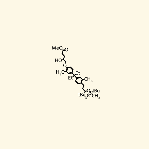 CCC(CC)(c1ccc(CCC(O[Si](C)(C)C(C)(C)C)C(C)(C)C)c(C)c1)c1ccc(OC[C@@H](O)CCC(=O)OC)c(C)c1